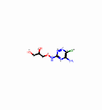 Nc1nc(NOCC(O)CO)nnc1Cl